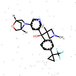 CN1CC(C)([C@](O)(c2ccc(C3(C(F)(F)F)CC3)cc2)c2cncc(N3C[C@@H]4C[C@H]3CO4)c2)C1